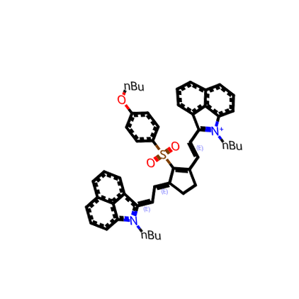 CCCCOc1ccc(S(=O)(=O)C2=C(/C=C/C3=[N+](CCCC)c4cccc5cccc3c45)CC/C2=C\C=c2/c3cccc4cccc(c43)n2CCCC)cc1